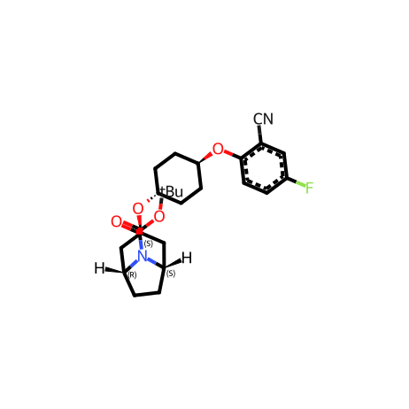 CC(C)(C)OC(=O)N1[C@@H]2CC[C@H]1C[C@H](O[C@H]1CC[C@H](Oc3ccc(F)cc3C#N)CC1)C2